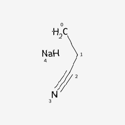 [CH2]CC#N.[NaH]